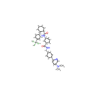 CN(C)c1ccc(-c2ccc(CNC(=O)c3cccc(NC(=O)c4ccccc4-c4ccc(C(F)(F)F)cc4)c3)cc2)nc1